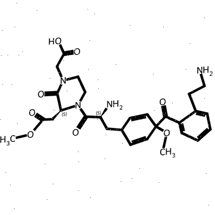 COC(=O)C[C@H]1C(=O)N(CC(=O)O)CCN1C(=O)[C@@H](N)CC1C=CC(OC)(C(=O)c2ccccc2CCN)C=C1